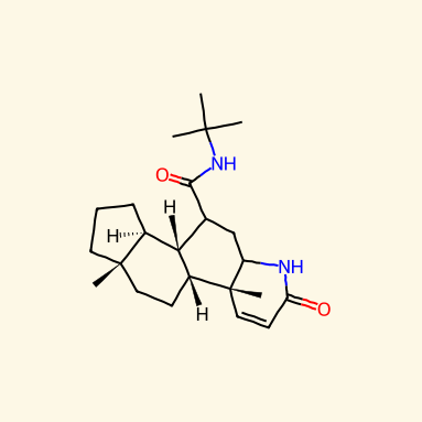 CC(C)(C)NC(=O)C1CC2NC(=O)C=C[C@]2(C)[C@@H]2CC[C@]3(C)CCC[C@H]3[C@H]12